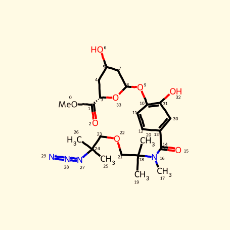 COC(=O)[C@@H]1CC(O)CC(Oc2ccc(C(=O)N(C)C(C)(C)COCC(C)(C)N=[N+]=[N-])cc2O)O1